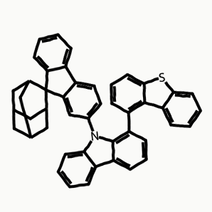 c1ccc2c(c1)-c1ccc(-n3c4ccccc4c4cccc(-c5cccc6sc7ccccc7c56)c43)cc1C21C2CC3CC(C2)CC1C3